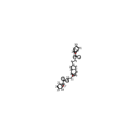 O=C(OCCC1CC2C3CC(CCOC(=O)C4CC5C=CC4C5)C(C3)C2C1)C1CC2C=CC1C2